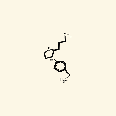 CCCCC1SCC[C@H]1c1ccc(OC)cc1